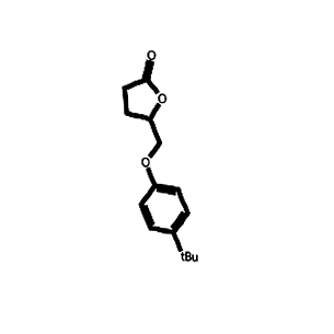 CC(C)(C)c1ccc(OCC2CCC(=O)O2)cc1